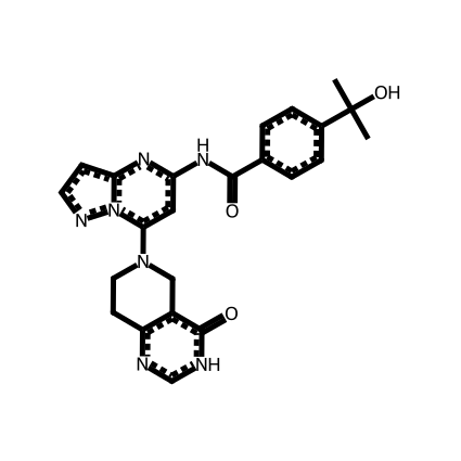 CC(C)(O)c1ccc(C(=O)Nc2cc(N3CCc4nc[nH]c(=O)c4C3)n3nccc3n2)cc1